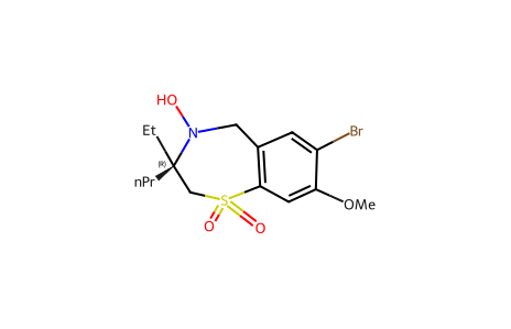 CCC[C@]1(CC)CS(=O)(=O)c2cc(OC)c(Br)cc2CN1O